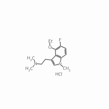 CCOc1c(F)ccc2c1c(CCN(C)C)cn2C.Cl